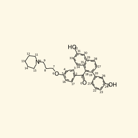 O=C(c1ccc(OCCCN2CCCCC2)cc1)c1c(-c2cccc(O)c2)ccc2cc(O)ccc12